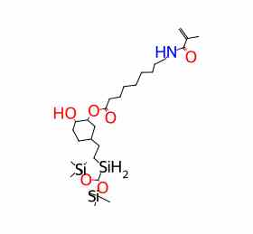 C=C(C)C(=O)NCCCCCCCCC(=O)OC1CC(CC[SiH2]C(O[Si](C)(C)C)O[Si](C)(C)C)CCC1O